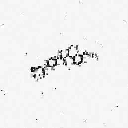 CNC(C(=O)Nc1ccc(/C(C=N)=C/N)cc1)c1cccc(OC)c1